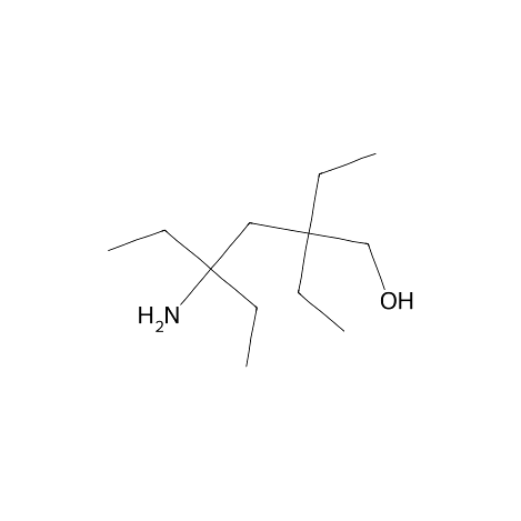 CCC(N)(CC)CC(CC)(CC)CO